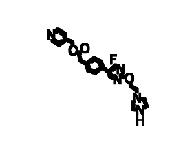 O=C(Cc1ccc(-c2cnc(OCCN3CCNCC3)nc2F)cc1)OCc1ccncc1